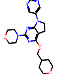 c1ncc(N2CCc3c(OCC4CCOCC4)nc(N4CCOCC4)nc32)cn1